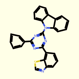 c1ccc(-c2nc(-c3cccc4ncsc34)nc(-n3c4ccccc4c4ccccc43)n2)cc1